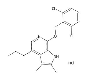 CCCc1cnc(OCc2c(Cl)cccc2Cl)c2[nH]c(C)c(C)c12.Cl